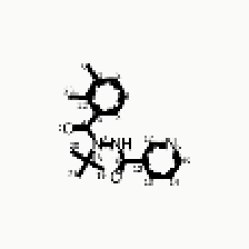 Cc1cccc(C(=O)N(NC(=O)c2cccnc2)C(C)(C)C)c1C